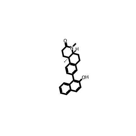 CN1C(=O)CC[C@]2(C)c3ccc(-c4c(O)ccc5ccccc45)cc3CC[C@@H]12